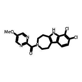 COc1cnc(C(=O)N2CCc3[nH]c4c(Cl)c(Cl)ccc4c3CC2)nc1